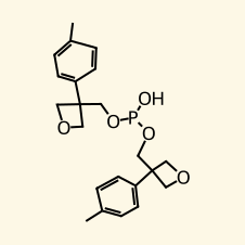 Cc1ccc(C2(COP(O)OCC3(c4ccc(C)cc4)COC3)COC2)cc1